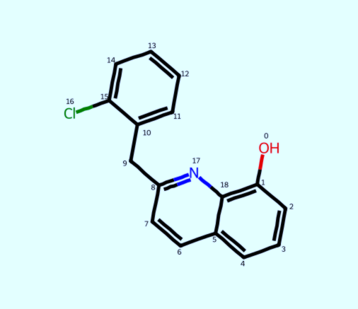 Oc1cccc2ccc(Cc3ccccc3Cl)nc12